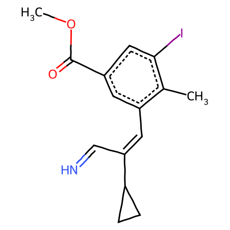 COC(=O)c1cc(I)c(C)c(/C=C(\C=N)C2CC2)c1